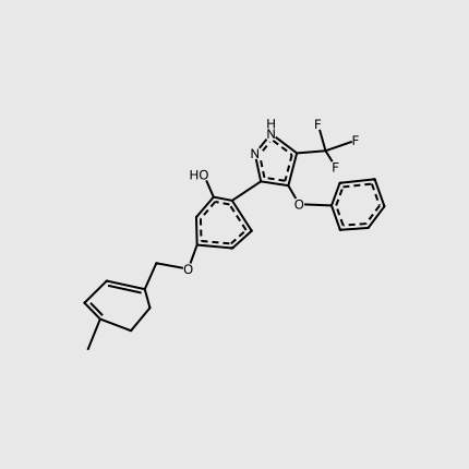 CC1=CC=C(COc2ccc(-c3n[nH]c(C(F)(F)F)c3Oc3ccccc3)c(O)c2)CC1